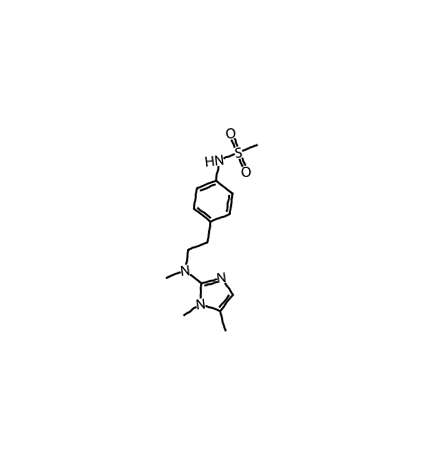 Cc1cnc(N(C)CCc2ccc(NS(C)(=O)=O)cc2)n1C